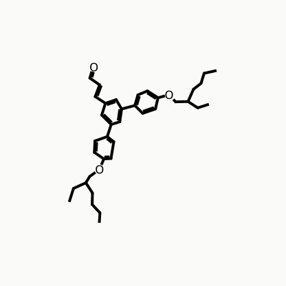 CCCCC(CC)COc1ccc(-c2cc(C=CC=O)cc(-c3ccc(OCC(CC)CCCC)cc3)c2)cc1